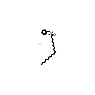 CCCCCCCC/C=C\CCCCCCCC(=O)[N+](C)(C)Cc1ccccc1.[Cl-]